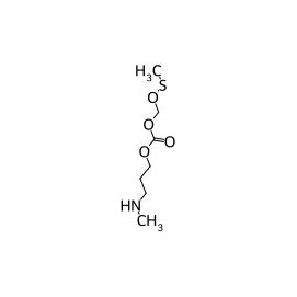 CNCCCOC(=O)OCOSC